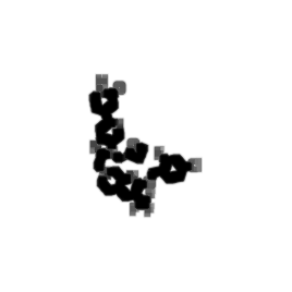 O=c1cc(-c2cc3nc(CN4CCc5cc(C(F)(F)F)c(OCc6ccc(Cl)cc6F)nc5C4)n(C[C@@H]4CCO4)c3cn2)cc[nH]1